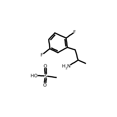 CC(N)Cc1cc(F)ccc1F.CS(=O)(=O)O